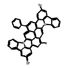 Brc1cc2c3c(c1)-c1cc(I)c4cc5c6c(cc(-c7ccccc7)c7cc(c1c4c76)B3c1ccccc1-2)-c1cc(Br)cc2c1B5c1ccccc1-2